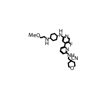 COCCN[C@H]1CC[C@H](Nc2cc(-c3cccc(NCC4(C#N)CCOCC4)n3)c(F)cn2)CC1